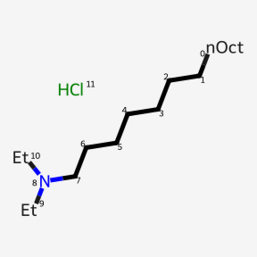 CCCCCCCCCCCCCCCN(CC)CC.Cl